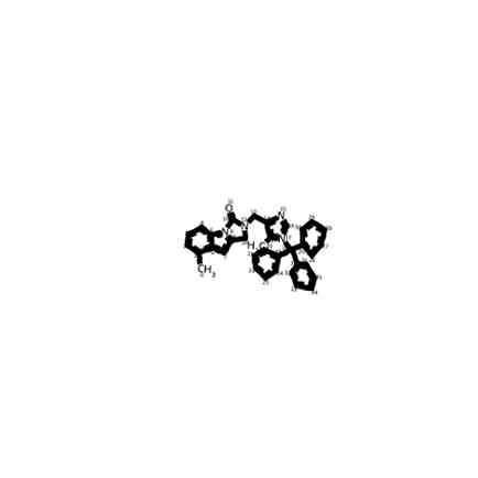 Cc1cccc2c1cc1n2C(=O)N(Cc2ncn(C(c3ccccc3)(c3ccccc3)c3ccccc3)c2C)C1